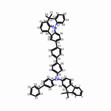 CC1(C)c2ccccc2-c2ccc(N(c3ccc(-c4ccccc4)cc3)c3ccc(-c4ccc(-c5ccc6c(c5)c5cccc7c5n6-c5ccccc5C7(C)C)cc4)cc3)cc21